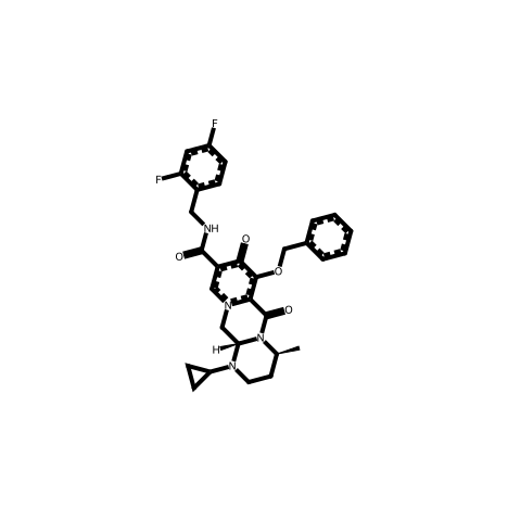 C[C@H]1CCN(C2CC2)[C@@H]2Cn3cc(C(=O)NCc4ccc(F)cc4F)c(=O)c(OCc4ccccc4)c3C(=O)N12